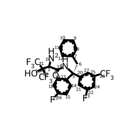 NC(C(=O)N[C@](Cc1ccccc1)(c1ccc(F)cc1)c1cc(F)cc(C(F)(F)F)c1)C(O)(C(F)(F)F)C(F)(F)F